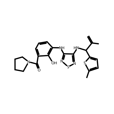 C=C(C)C(Nc1nsnc1Nc1cccc(C(=O)N2CCCC2)c1O)c1ccc(C)s1